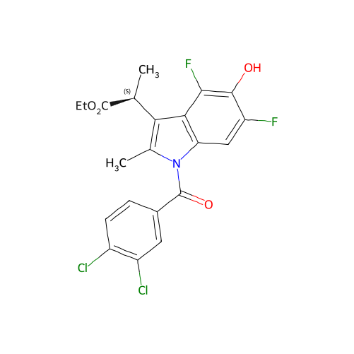 CCOC(=O)[C@@H](C)c1c(C)n(C(=O)c2ccc(Cl)c(Cl)c2)c2cc(F)c(O)c(F)c12